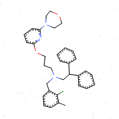 FC(F)(F)c1cccc(CN(CCCOc2cccc(N3CCOCC3)n2)CC(c2ccccc2)c2ccccc2)c1Cl